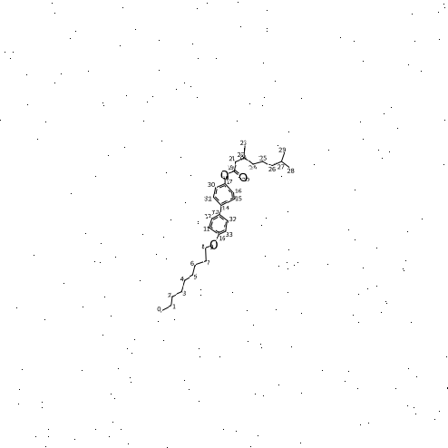 CCCCCCCCCOc1ccc(-c2ccc(OC(=O)C[C@@H](C)CCCC(C)C)cc2)cc1